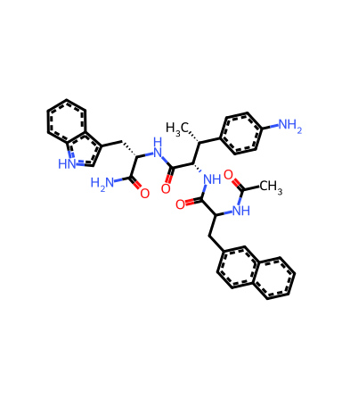 CC(=O)NC(Cc1ccc2ccccc2c1)C(=O)N[C@H](C(=O)N[C@@H](Cc1c[nH]c2ccccc12)C(N)=O)[C@H](C)c1ccc(N)cc1